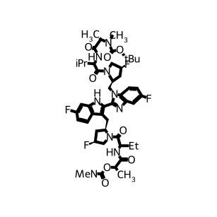 CCC(NC(=O)C(C)OC(=O)NC)C(=O)N1C[C@@H](F)C[C@H]1Cc1c(-c2nc3cc(F)ccc3n2C[C@@H]2C[C@H](F)CN2C(=O)C(NC(=O)C(C)N(C)C(=O)OC(C)(C)C)C(C)C)[nH]c2cc(F)ccc12